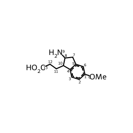 COc1ccc2c(c1)CC(N)C2CCC(=O)O